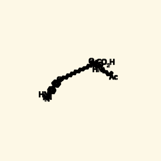 CC(=O)[C@@H](C)CCCCNC(=O)CN(CC(=O)O)C(=O)CCCCCCCCCCCCCCCOc1ccc(-c2ccc(-c3nnn[nH]3)cc2)cc1